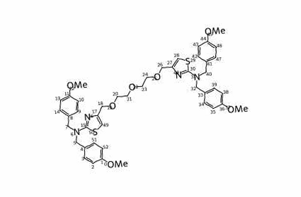 COc1ccc(CN(Cc2ccc(OC)cc2)c2nc(COCCOCCOCc3csc(N(Cc4ccc(OC)cc4)Cc4ccc(OC)cc4)n3)cs2)cc1